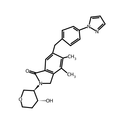 Cc1c(Cc2ccc(-n3cccn3)cc2)cc2c(c1C)CN([C@@H]1COCC[C@H]1O)C2=O